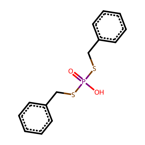 O=P(O)(SCc1ccccc1)SCc1ccccc1